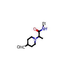 CCNC(=O)C(C)N1CCC(C=O)CC1